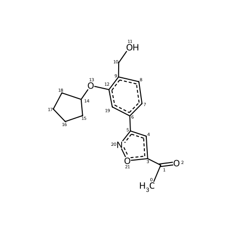 CC(=O)c1cc(-c2ccc(CO)c(OC3CCCC3)c2)no1